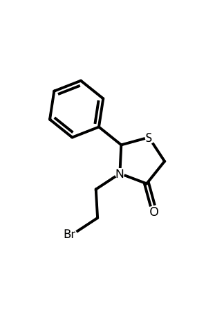 O=C1CSC(c2ccccc2)N1CCBr